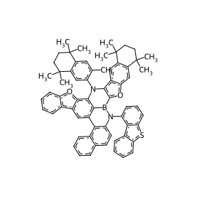 Cc1cc2c(cc1N1c3c(oc4cc5c(cc34)C(C)(C)CCC5(C)C)B3c4c(cc5c(oc6ccccc65)c41)-c1c(ccc4ccccc14)N3c1cccc3sc4ccccc4c13)C(C)(C)CCC2(C)C